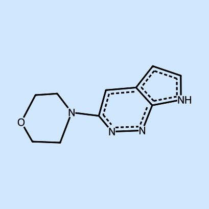 c1cc2cc(N3CCOCC3)nnc2[nH]1